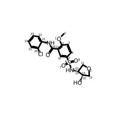 COc1ccc(S(=O)(=O)N[C@H]2COC[C@H]2O)cc1C(=O)Nc1ccccc1Cl